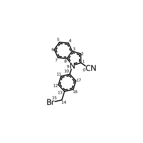 N#Cc1cc2ccccc2n1-c1ccc(CBr)cc1